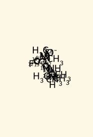 Cn1c([S+](C)[O-])nc(-c2ccc(F)cc2)c1-c1ccnc(NC2CC(C)(C)NC(C)(C)C2)c1